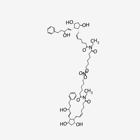 CCN(C(=O)CCC/C=C\C[C@@H]1[C@H](/C=C/[C@@H](O)CCc2ccccc2)[C@H](O)C[C@H]1O)C(=O)CCCCCO[N+](=O)OCCCCCC(=O)N(CC)C(=O)CCC/C=C\C[C@@H]1[C@H](/C=C/[C@@H](O)CCc2ccccc2)[C@H](O)C[C@H]1O